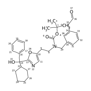 CC(C)(C)OC(=O)N(CCc1cnc(C(O)(c2ccccc2)C2CCCCC2)o1)Cc1cccc(CC=O)c1